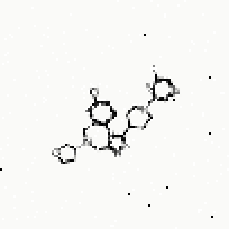 Cc1cncc(N2CCC(c3nnc4n3-c3ccc(Cl)cc3CN([C@@H]3CCOC3)C4)CC2)n1